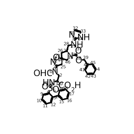 O=CN(CC(NS(=O)(=O)c1ccccc1-c1ccccc1)C(=O)O)C1=NO[C@]2(C1)CC(CNc1ncc[nH]1)N(C(=O)OCc1ccccc1)C2